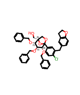 OC[C@]12COC(c3ccc(Cl)c(Cc4ccc5c(c4)CCO5)c3)(O1)[C@H](OCc1ccccc1)[C@@H](OCc1ccccc1)[C@@H]2OCc1ccccc1